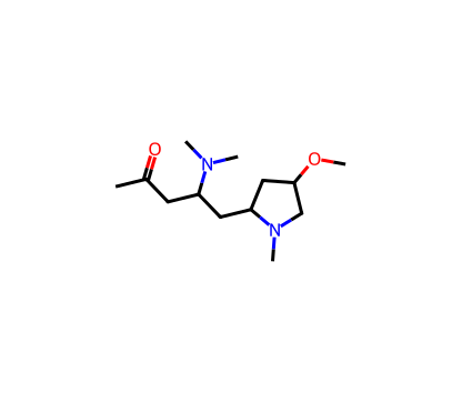 COC1CC(CC(CC(C)=O)N(C)C)N(C)C1